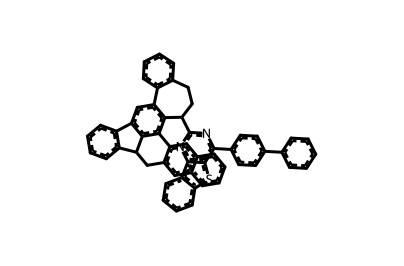 c1ccc(-c2ccc(-c3nc(C4CCc5ccccc5-c5cc6c7c(c54)-c4cc5ccccc5cc4CC7c4ccccc4-6)nc4c3sc3ccccc34)cc2)cc1